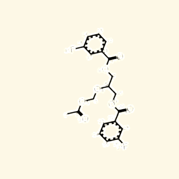 CC(=O)OCOC(COC(=O)c1cccc(F)c1)COC(=O)c1cccc(F)c1